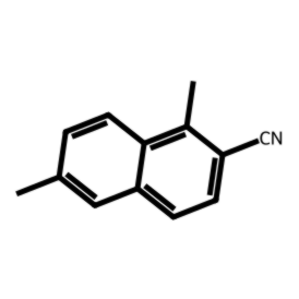 Cc1ccc2c(C)c(C#N)ccc2c1